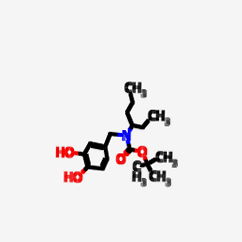 CCCC(CC)N(Cc1ccc(O)c(O)c1)C(=O)OC(C)(C)C